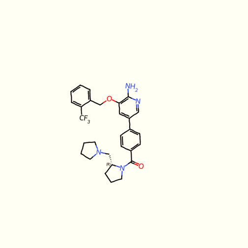 Nc1ncc(-c2ccc(C(=O)N3CCC[C@@H]3CN3CCCC3)cc2)cc1OCc1ccccc1C(F)(F)F